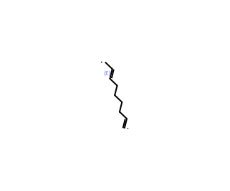 [CH]=CCCCC/C=C/[CH2]